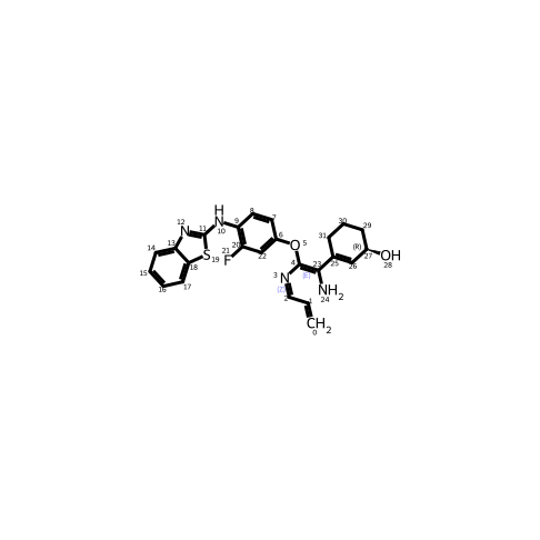 C=C/C=N\C(Oc1ccc(Nc2nc3ccccc3s2)c(F)c1)=C(/N)C1=C[C@H](O)CCC1